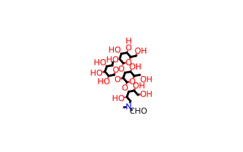 CC1O[C@@H](OC2[C@H](O[C@H](C(O)CO)[C@H](O)CN(C)C=O)OC(CO)[C@H](O)[C@@H]2O[C@H]2OC(CO)[C@H](O)[C@H](O)C2O)[C@@H](O)C(O)[C@@H]1O